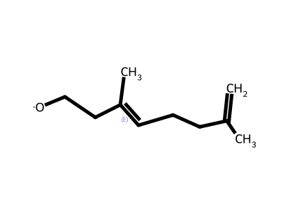 C=C(C)CC/C=C(\C)CC[O]